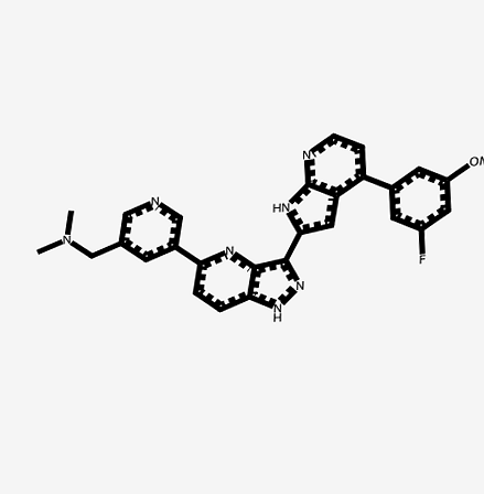 COc1cc(F)cc(-c2ccnc3[nH]c(-c4n[nH]c5ccc(-c6cncc(CN(C)C)c6)nc45)cc23)c1